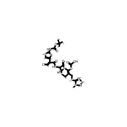 Cn1nnnc1SCC1=C(OC(=O)O)N2C(=O)C(NC(=O)C(=CCl)c3csc(NC(=O)OC(C)(C)C)n3)[C@@H]2SC1